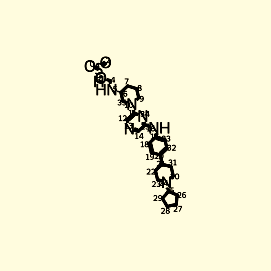 O=[SH](=O)OCN[C@@H]1CCCN(c2cncc(Nc3ccc(C4CCN(C5CCCC5)CC4)cc3)n2)C1